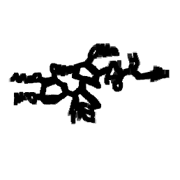 CCC(C)CNC(=O)Nc1cc(-c2conc2-c2cc(OC)c(OC)c(OC)c2)ccc1OC.Cl